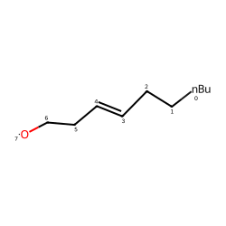 CCCCCCC=CCC[O]